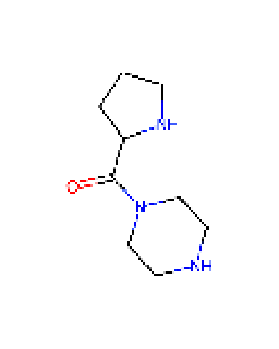 O=C(C1CCCN1)N1CCNCC1